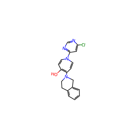 OC1=C(N2CCc3ccccc3C2)C=CN(c2cc(Cl)ncn2)C=C1